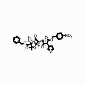 CC1(C)S[C@@H]2[C@H](NC(=O)C(C(=O)OCc3ccc([N+](=O)[O-])cc3)c3ccsc3)C(=O)N2[C@@]1(N)C(=O)OCc1ccccc1